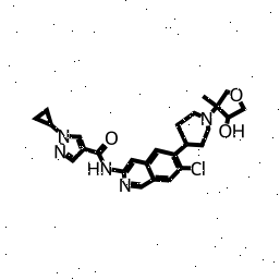 CC1(N2CCC(c3cc4cc(NC(=O)c5cnn(C6CC6)c5)ncc4cc3Cl)CC2)COCC1O